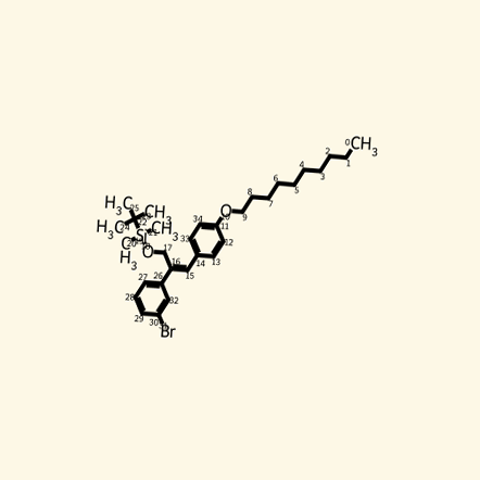 CCCCCCCCCCOc1ccc(/C=C(\CO[Si](C)(C)C(C)(C)C)c2cccc(Br)c2)cc1